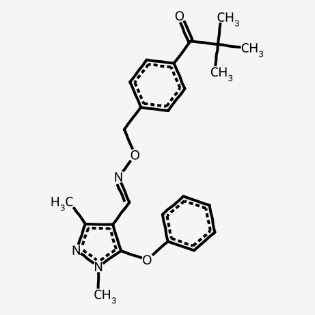 Cc1nn(C)c(Oc2ccccc2)c1C=NOCc1ccc(C(=O)C(C)(C)C)cc1